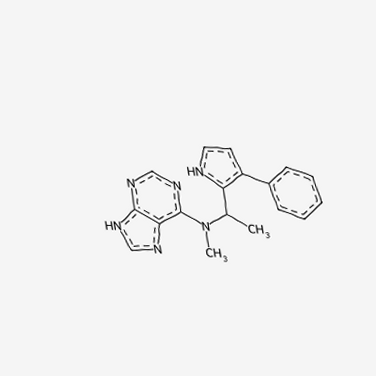 CC(c1[nH]ccc1-c1ccccc1)N(C)c1ncnc2[nH]cnc12